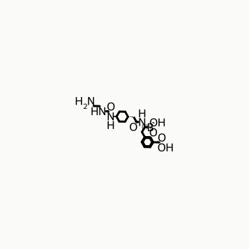 NCCNC(=O)N[C@H]1CC[C@H](CC(=O)N[C@H]2Cc3cccc(C(=O)O)c3OB2O)CC1